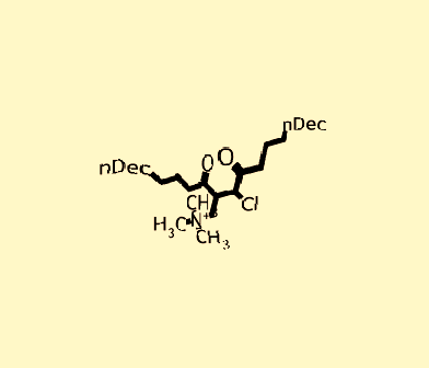 CCCCCCCCCCCCCC(=O)C(Cl)C(C[N+](C)(C)C)C(=O)CCCCCCCCCCCCC